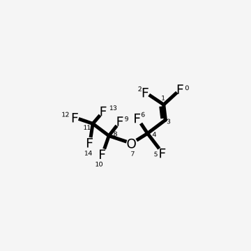 FC(F)=CC(F)(F)OC(F)(F)C(F)(F)F